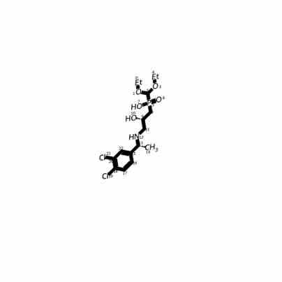 CCOC(OCC)P(=O)(O)C[C@@H](O)CN[C@H](C)c1ccc(Cl)c(Cl)c1